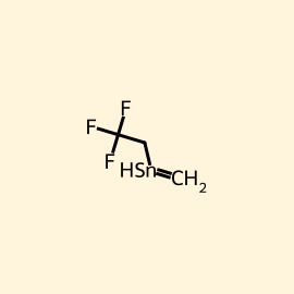 [CH2]=[SnH][CH2]C(F)(F)F